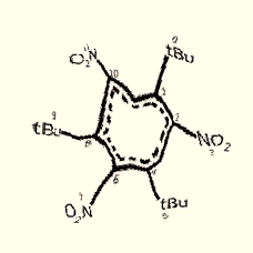 CC(C)(C)c1c([N+](=O)[O-])c(C(C)(C)C)c([N+](=O)[O-])c(C(C)(C)C)c1[N+](=O)[O-]